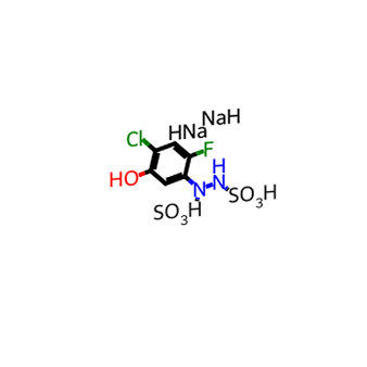 O=S(=O)(O)NN(c1cc(O)c(Cl)cc1F)S(=O)(=O)O.[NaH].[NaH]